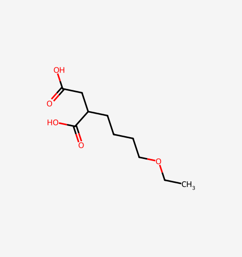 CCOCCCCC(CC(=O)O)C(=O)O